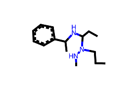 CCCN(NC)C(CC)NC(C)c1ccccc1